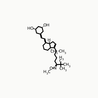 CO/N=C(\CCC[C@@H](C)C1=CC[C@H]2/C(=C/C=C3C[C@@H](O)C[C@H](O)C3)CCC[C@]12C)C(C)(C)C